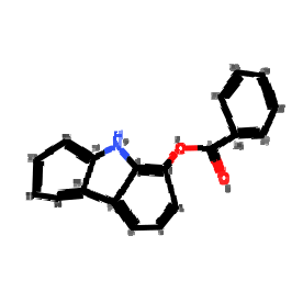 O=C(Oc1cccc2c1[nH]c1ccccc12)c1ccccc1